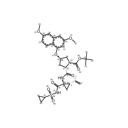 C=C[C@@H]1C[C@]1(NC(=O)[C@@H]1C[C@@H](Oc2nc(OC)cc3cc(OC)ccc23)CN1C(=O)OC(C)(C)C)C(=O)NS(=O)(=O)C1CC1